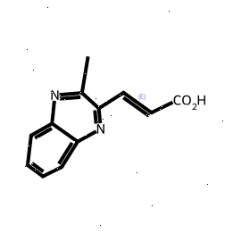 Cc1nc2ccccc2nc1/C=C/C(=O)O